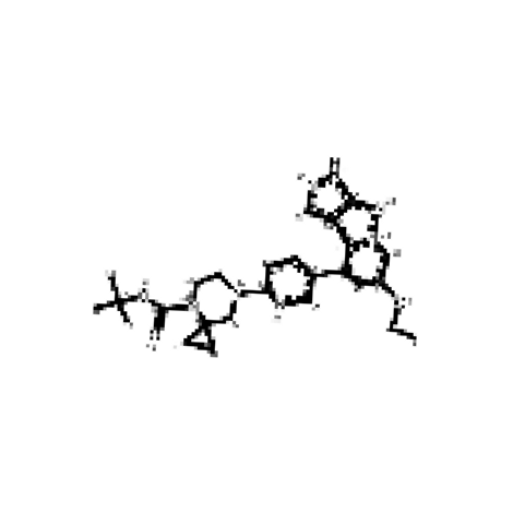 CCOc1cc(-c2ccc(N3CCN(C(=O)OC(C)(C)C)C4(CC4)C3)nc2)c2c3cn[nH]c3nn2c1